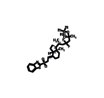 CC[Si](CC)(CC)OC(C)(C)CC(F)(F)C[C@@H](C)[C@H]1CC[C@H]2/C(=C/CS(=O)(=O)c3nc4ccccc4s3)CCC[C@]12C